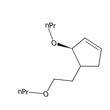 CCCOCCC1CC=C[C@@H]1OCCC